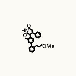 COCCCc1ccccc1-c1ccc(C2C(=O)NC(=O)CC2c2ccccc2)c(C)c1